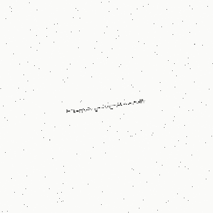 CC(C)CCCCCCCOCCOCCOCCOCCOCCOCCO